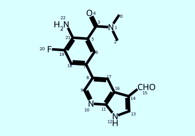 CN(C)C(=O)c1cc(-c2cnc3[nH]cc(C=O)c3c2)cc(F)c1N